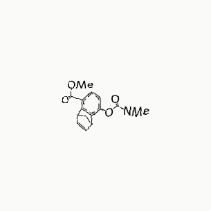 CNC(=O)Oc1ccc(C(=O)OC)c2c1C1C=CC2C1